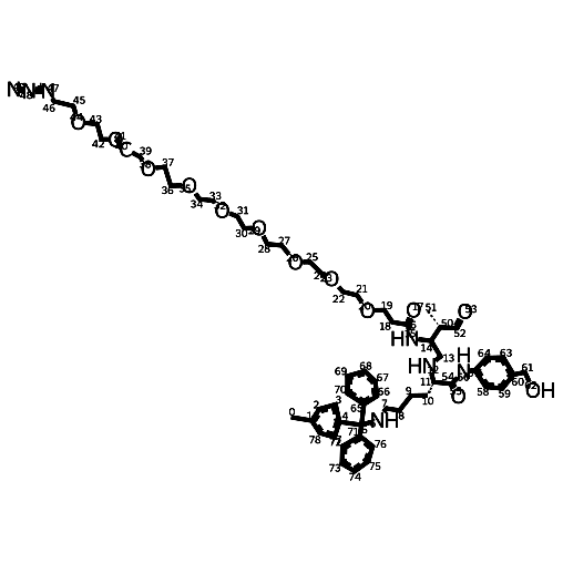 Cc1ccc(C(NCCCC[C@H](NCC(NC(=O)CCOCCOCCOCCOCCOCCOCCOCCOCCOCCN=[N+]=[N-])[C@H](C)C=O)C(=O)Nc2ccc(CO)cc2)(c2ccccc2)c2ccccc2)cc1